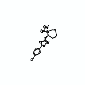 O=C(O)N1CCCC[C@H]1Cc1nnc(-c2ccc(Cl)cc2)o1